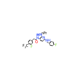 CCCNc1nc(NCc2ccc(F)cc2)ccc1NC(=O)Cc1ccc(C(F)(F)F)c(F)c1